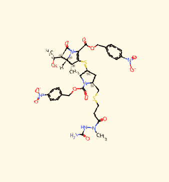 C[C@@H](O)[C@H]1C(=O)N2C(C(=O)OCc3ccc([N+](=O)[O-])cc3)=C(S[C@H]3C[C@@H](CSCCC(=O)N(C)NC(N)=O)N(C(=O)OCc4ccc([N+](=O)[O-])cc4)C3)[C@H](C)[C@H]12